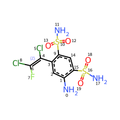 Nc1cc(/C(Cl)=C(\F)Cl)c(S(N)(=O)=O)cc1S(N)(=O)=O